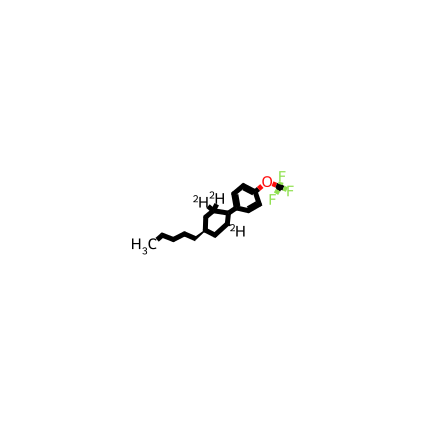 [2H][C@@H]1C[C@@H](CCCCC)CC([2H])([2H])C1c1ccc(OC(F)(F)F)cc1